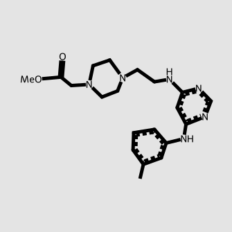 COC(=O)CN1CCN(CCNc2cc(Nc3cccc(C)c3)ncn2)CC1